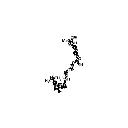 COC(=O)[C@H](CCC(C)(C)C)NC(=O)c1ccc(Oc2cccc(OCC(=O)N(CCO)CCOC3CN(C(=O)COCc4cn(CC(=O)NCCCn5nccc5C(=O)N[C@H](C(=O)Nc5ccc(-c6c(C)n[nH]c6C)cc5)C(C5CC5)C5CC5)nn4)C3)c2)nc1